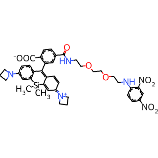 C[Si]1(C)C2=CC(=[N+]3CCC3)C=CC2=C(c2cc(C(=O)NCCOCCOCCNc3ccc([N+](=O)[O-])cc3[N+](=O)[O-])ccc2C(=O)[O-])c2ccc(N3CCC3)cc21